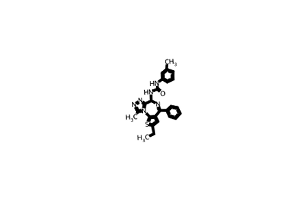 CCc1cc2c(s1)-n1c(C)nnc1C(NC(=O)Nc1cccc(C)c1)N=C2c1ccccc1